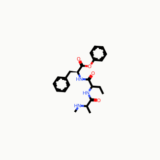 CCC(NC(=O)C(C)NC)C(=O)N[C@@H](Cc1ccccc1)C(=O)Oc1ccccc1